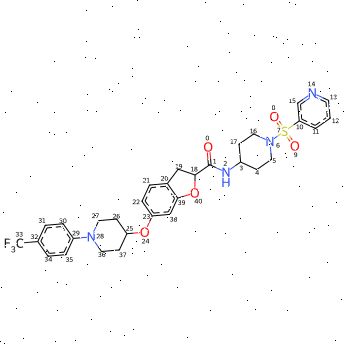 O=C(NC1CCN(S(=O)(=O)c2cccnc2)CC1)C1Cc2ccc(OC3CCN(c4ccc(C(F)(F)F)cc4)CC3)cc2O1